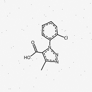 Cc1nnn(-c2ccccc2Cl)c1C(=O)O